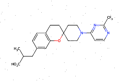 CC(Cc1ccc2c(c1)OC1(CC2)CCN(c2ccnc(C(F)(F)F)n2)CC1)C(=O)O